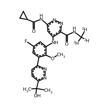 [2H]C([2H])([2H])NC(=O)c1nnc(NC(=O)C2CC2)cc1Nc1cc(F)cc(-c2ccc(C(C)(C)O)nn2)c1OC